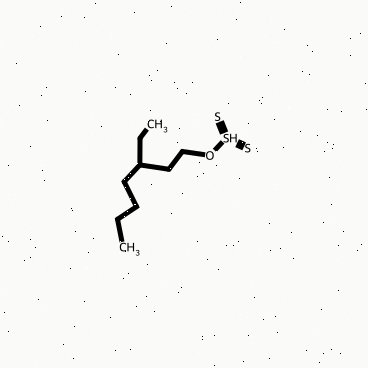 CCCCC(CC)CCO[SH](=S)=S